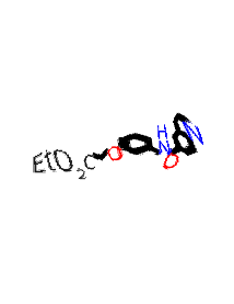 CCOC(=O)CCCOc1cccc(CNC(=O)c2ccc3ncccc3c2)c1